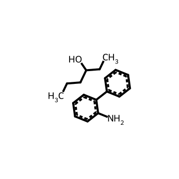 CCCC(O)CC.Nc1ccccc1-c1ccccc1